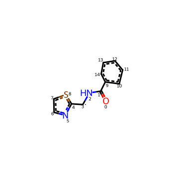 O=C(N[CH]c1nccs1)c1ccccc1